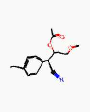 COCC(OC(C)=O)C(C#N)c1ccc(C)cc1